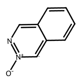 [O-][n+]1[c]c2ccccc2cn1